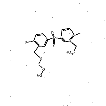 O=S(=O)(O)Cc1cc(S(=O)(=O)c2ccc(F)c(CSOOO)c2)ccc1F